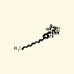 CCCCCCCCCCCCc1ccc(CNC(P(=O)(O)O)P(=O)(O)O)cc1